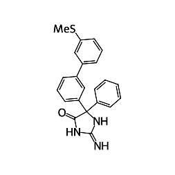 CSc1cccc(-c2cccc(C3(c4ccccc4)NC(=N)NC3=O)c2)c1